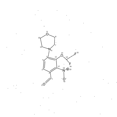 O=Cc1ccc(N2CCOCC2)c(OC(F)F)c1[N+](=O)[O-]